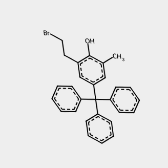 Cc1cc(C(c2ccccc2)(c2ccccc2)c2ccccc2)cc(CCBr)c1O